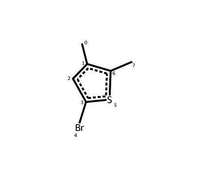 Cc1cc(Br)sc1C